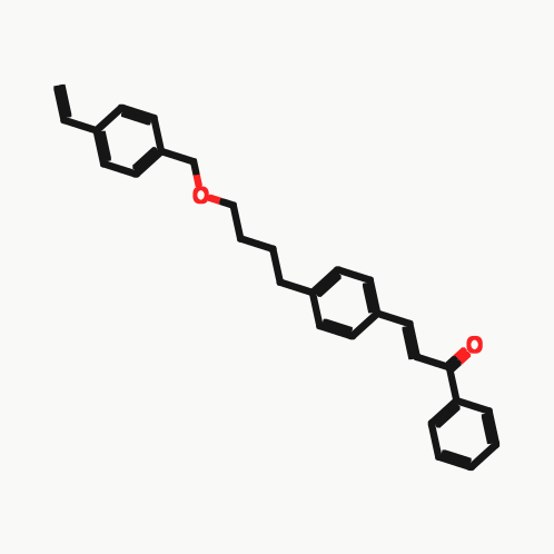 C=Cc1ccc(COCCCCc2ccc(/C=C/C(=O)c3ccccc3)cc2)cc1